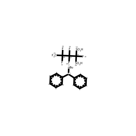 CCCCI(c1ccccc1)c1ccccc1.O=S(=O)(O)C(F)(C(F)(F)C(F)(F)C(F)(F)F)S(=O)(=O)O